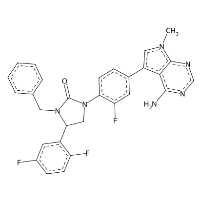 Cn1cc(-c2ccc(N3CC(c4cc(F)ccc4F)N(Cc4ccccc4)C3=O)c(F)c2)c2c(N)ncnc21